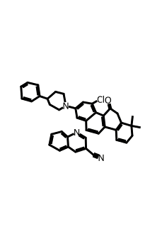 CC1(C)CC=CC2=C1CC(=O)c1c2ccc2cc(N3CCC(c4ccccc4)CC3)cc(Cl)c12.N#Cc1cnc2ccccc2c1